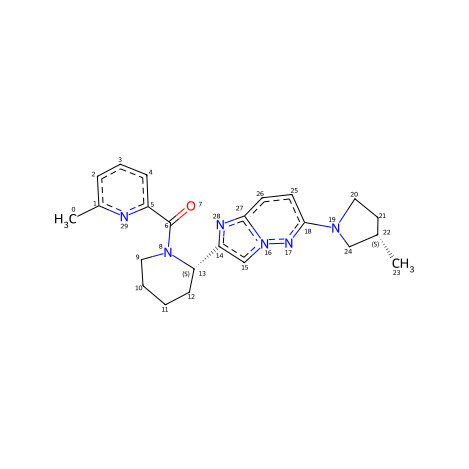 Cc1cccc(C(=O)N2CCCC[C@H]2c2cn3nc(N4CC[C@H](C)C4)ccc3n2)n1